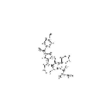 CN[C@@H](C)C(=O)N[C@H](C(=O)N1CCCCC[C@H]1c1nc(C(=O)c2ccc(F)cc2)cs1)C1CCCCC1